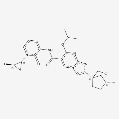 CC(C)Oc1nc2nc([C@@]34CC[C@@](C)(C3)OC4)cn2cc1C(=O)Nc1cccn([C@@H]2C[C@H]2F)c1=O